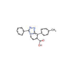 Cc1ccc(-c2c(C(=O)O)ccn3c(-c4ccccc4)nnc23)cc1